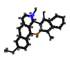 Cc1c2c(c(C(C)C)c3ccccc13)Sc1c3ccc(CC(C)C)cc3cc3cc[n+](C)c-2c13